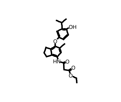 CCOC(=O)CC(=O)Nc1cc(C)c(Oc2ccc(O)c(C(C)C)c2)c2c1CCC2